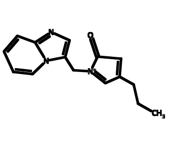 CCCC1=CC(=O)[N+](Cc2cnc3ccccn23)=C1